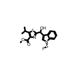 COC(=O)c1nc(C(O)c2cn(SF)c3ccccc23)sc1C(C)C